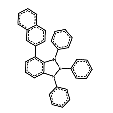 c1ccc(B2N(c3ccccc3)c3cccc(-c4ccc5ccccc5c4)c3N2c2ccccc2)cc1